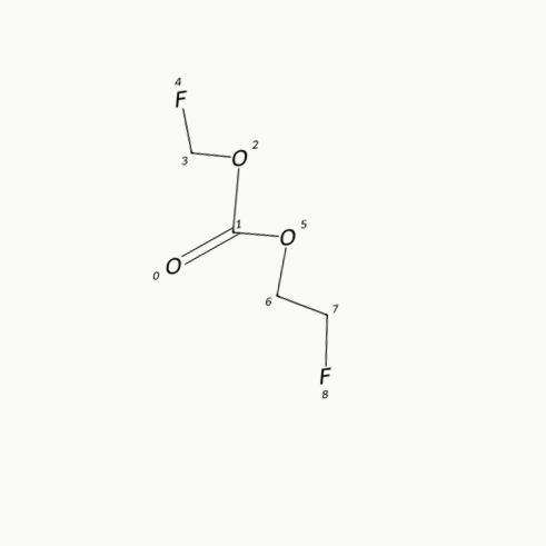 O=C(OCF)OCCF